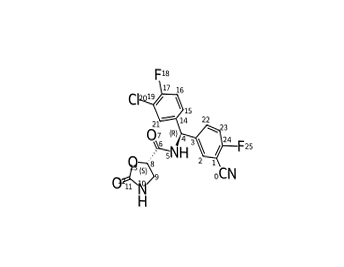 N#Cc1cc([C@@H](NC(=O)[C@@H]2CNC(=O)O2)c2ccc(F)c(Cl)c2)ccc1F